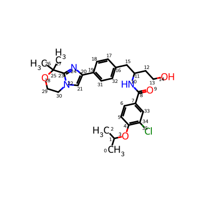 CC(C)Oc1ccc(C(=O)NC(CCO)Cc2ccc(-c3cn4c(n3)C(C)(C)OCC4)cc2)cc1Cl